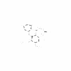 CC[C@H]1C(=O)NN=C(c2ccccc2O)c2cc(OC)c(OC)cc21